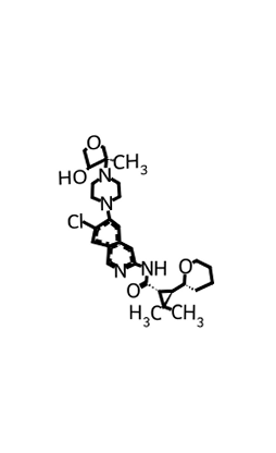 CC1(C)[C@H]([C@H]2CCCCO2)[C@H]1C(=O)Nc1cc2cc(N3CCN([C@]4(C)COC[C@@H]4O)CC3)c(Cl)cc2cn1